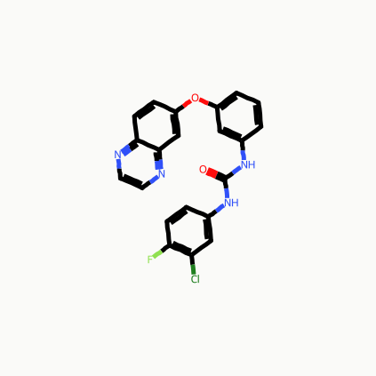 O=C(Nc1cccc(Oc2ccc3nccnc3c2)c1)Nc1ccc(F)c(Cl)c1